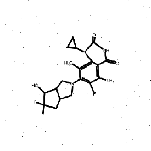 Cc1c(N2CC3CC(F)(F)C(O)C3C2)c(F)c(N)c2c(=O)[nH]c(=O)n(C3CC3)c12